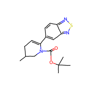 CC1CC=C(c2ccc3nsnc3c2)N(C(=O)OC(C)(C)C)C1